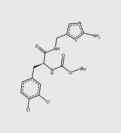 CC(C)(C)OC(=O)N[C@@H](Cc1ccc(Cl)c(Cl)c1)C(=O)NCc1cnc(N)s1